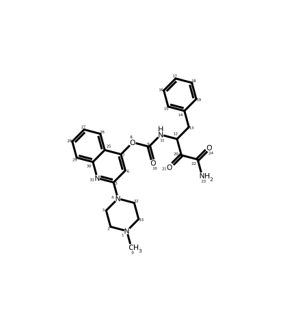 CN1CCN(c2cc(OC(=O)NC(Cc3ccccc3)C(=O)C(N)=O)c3ccccc3n2)CC1